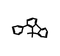 CC1(C)c2ccccc2-c2cccc(-c3cc[c]cc3)c21